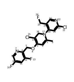 CC1=CC(OCc2ncc(F)cc2F)=C(Cl)CN1c1cc(Cl)ncc1CF